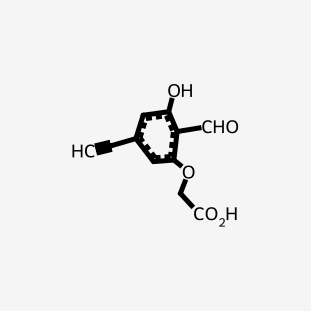 C#Cc1cc(O)c(C=O)c(OCC(=O)O)c1